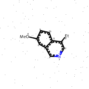 CCc1cncc2cc(OC)ccc12